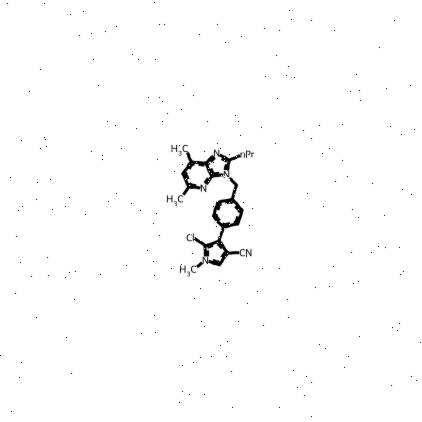 CCCc1nc2c(C)cc(C)nc2n1Cc1ccc(-c2c(C#N)cn(C)c2Cl)cc1